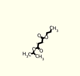 CCCOC(=O)[CH][C]C(=O)OC(C)C